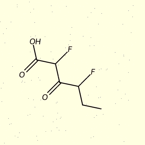 CCC(F)C(=O)C(F)C(=O)O